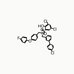 O=S(=O)(c1cc(Cl)cc(Cl)c1O)N(Cc1ccc(Oc2ccc(F)cc2)cc1)Cc1cccc(-c2ccc(Cl)cc2)c1